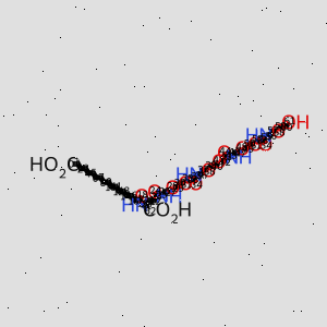 O=C(O)CCCCCCCCCCCCCCCCC(=O)N[C@@H](CCC(=O)NCCOCCOCC(=O)NCCOCCOCC(=O)NCCOCCOCC(=O)NCCOCCO)C(=O)O